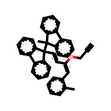 C#CCOC(/C=C/C1(C2(C)c3ccccc3-c3ccccc32)c2ccccc2-c2ccccc21)=C/c1ccccc1C